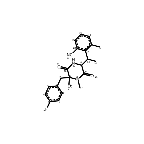 CCC1(Cc2ccc(F)cc2)C(=O)NC(C(C)c2c(C)cccc2C#N)C(=O)N1C